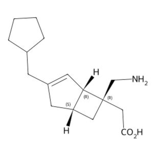 NC[C@@]1(CC(=O)O)C[C@@H]2CC(CC3CCCC3)=C[C@@H]21